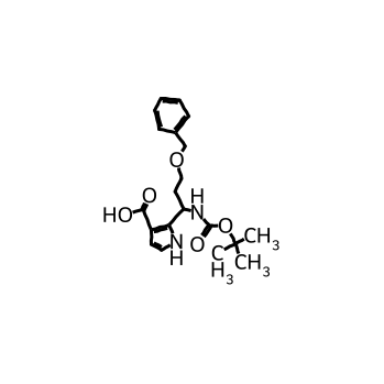 CC(C)(C)OC(=O)NC(CCOCc1ccccc1)c1[nH]ccc1C(=O)O